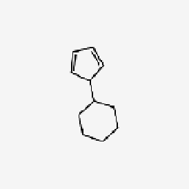 C1=CC(C2CCCCC2)C=C1